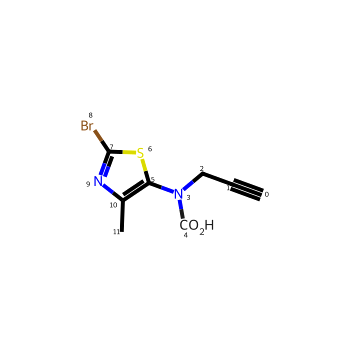 C#CCN(C(=O)O)c1sc(Br)nc1C